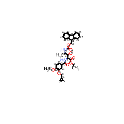 CCOC(=O)C(NC(=O)c1ccc(OC)c(OCC2CC2)c1)C(=O)[C@H](C)NC(=O)OCC1c2ccccc2-c2ccccc21